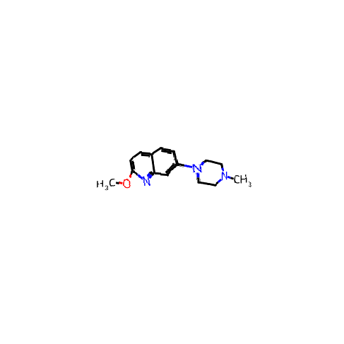 COc1ccc2ccc(N3CCN(C)CC3)cc2n1